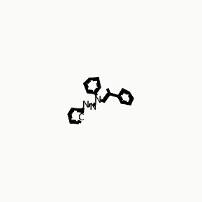 C/C(=C\N(/N=N/c1ccccc1)c1ccccc1)c1ccccc1